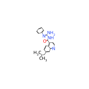 CC(C)Cc1ccc2c(C(=O)NC(N)=Nc3ccccc3)ccnc2c1